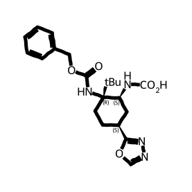 CC(C)(C)[C@]1(NC(=O)OCc2ccccc2)CC[C@H](c2nnco2)C[C@@H]1NC(=O)O